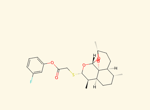 C[C@H]1[C@H](SCC(=O)Oc2cccc(F)c2)O[C@@H]2O[C@]3(C)CC[C@H]4[C@H](C)CC[C@@H]1[C@@]24OO3